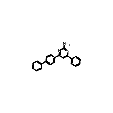 Nc1nc(-c2ccccc2)cc(-c2ccc(-c3ccccc3)cc2)n1